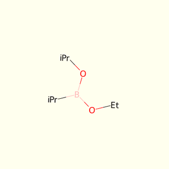 CCOB(OC(C)C)C(C)C